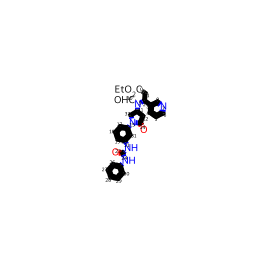 CCOC(=O)CC(c1cccnc1)N(C=O)C1CC(=O)N(c2cccc(NC(=O)Nc3ccccc3)c2)C1